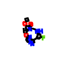 O=C1[C@H](OC2CCC2)C[C@H]2COc3ccn4ncc(c4n3)-c3cc(F)cc(c3)NCCN12